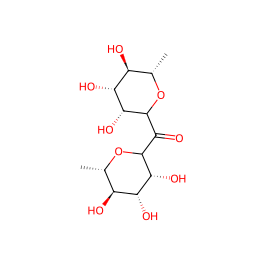 C[C@@H]1OC(C(=O)C2O[C@@H](C)[C@H](O)[C@@H](O)[C@H]2O)[C@H](O)[C@H](O)[C@H]1O